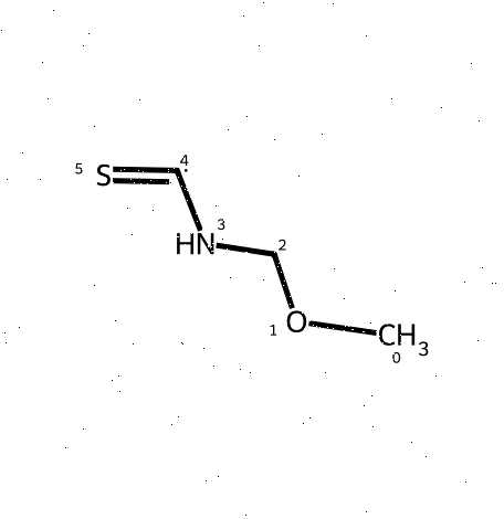 COCN[C]=S